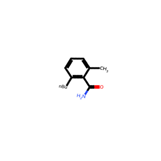 CCCCc1cccc(C)c1C(N)=O